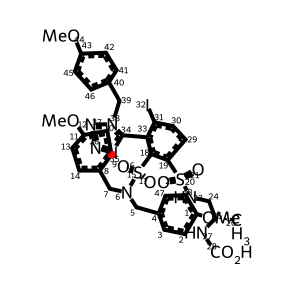 COc1ccc(CN(Cc2ccc(OC)cc2)S(=O)(=O)c2c(S(=O)(=O)NC[C@H](C)NC(=O)O)ccc(I)c2-c2nnnn2Cc2ccc(OC)cc2)cc1